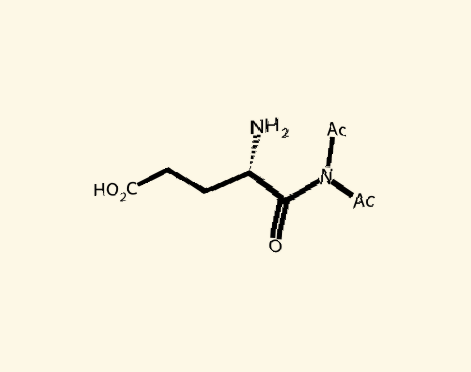 CC(=O)N(C(C)=O)C(=O)[C@@H](N)CCC(=O)O